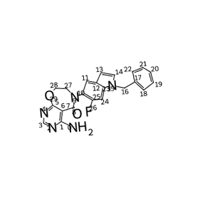 Nc1ncnc2c1C(=O)N(c1cc3ccn(Cc4ccccc4)c3cc1F)CCO2